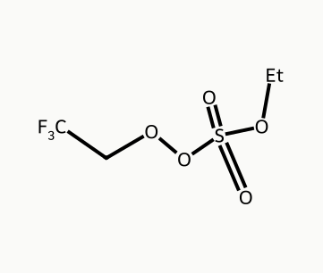 CCOS(=O)(=O)OOCC(F)(F)F